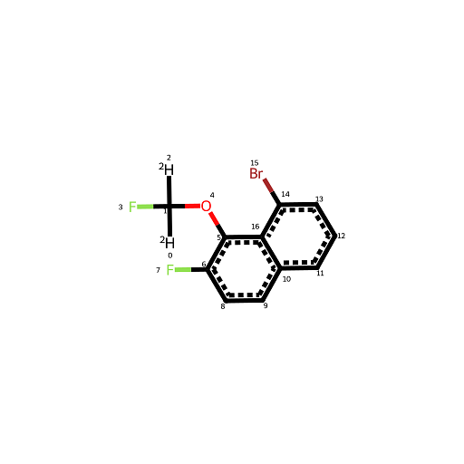 [2H]C([2H])(F)Oc1c(F)ccc2cccc(Br)c12